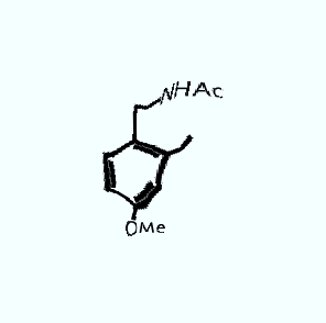 COc1ccc(CNC(C)=O)c(C)c1